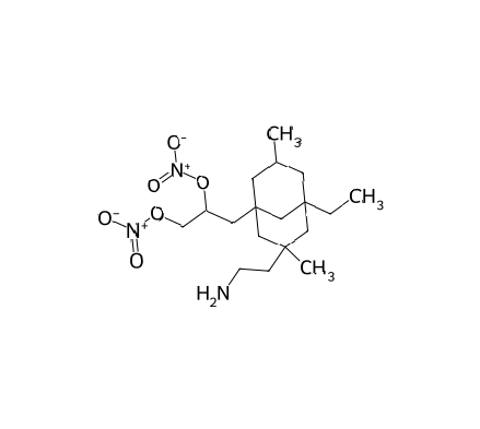 CCC12CC(C)CC(CC(CO[N+](=O)[O-])O[N+](=O)[O-])(CC(C)(CCN)C1)C2